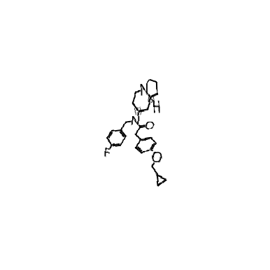 O=C(Cc1ccc(OCC2CC2)cc1)N(Cc1ccc(F)cc1)[C@H]1CCN2CCC[C@H]2C1